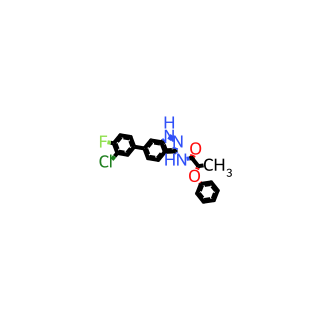 CC(Oc1ccccc1)C(=O)Nc1n[nH]c2cc(-c3ccc(F)c(Cl)c3)ccc12